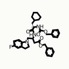 O=C(CC(CN1CCc2cc(F)ccc21)NC(=O)[C@H](CC1CCCCC1)NC(=O)OCc1ccccc1)OCc1ccccc1